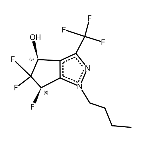 CCCCn1nc(C(F)(F)F)c2c1[C@@H](F)C(F)(F)[C@H]2O